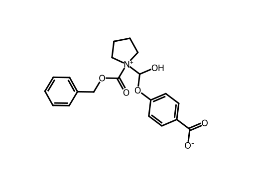 O=C([O-])c1ccc(OC(O)[N+]2(C(=O)OCc3ccccc3)CCCC2)cc1